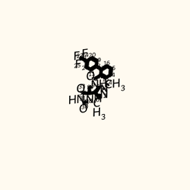 Cc1nn(C)cc1C1(CNC(=O)c2ccccc2-c2ccc(C(F)(F)F)cc2)NC(=O)NC1=O